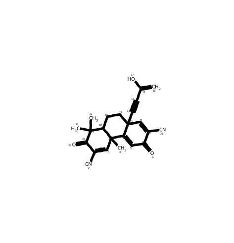 [C-]#[N+]C1=CC2(C)C3=CC(=O)C(C#N)=CC3(C#CC(=C)O)CCC2C(C)(C)C1=O